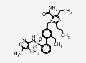 CCCc1nc(CC)c(C(N)=O)n1Cc1ccc(-c2ccccc2S(=O)(=O)Nc2noc(C)c2C)c(CC)c1